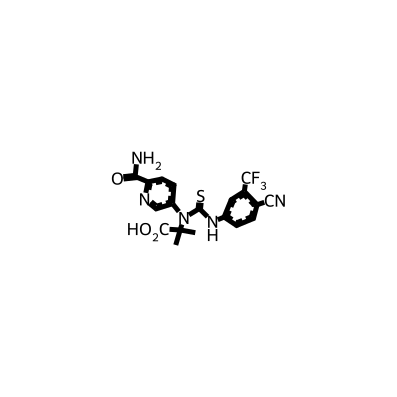 CC(C)(C(=O)O)N(C(=S)Nc1ccc(C#N)c(C(F)(F)F)c1)c1ccc(C(N)=O)nc1